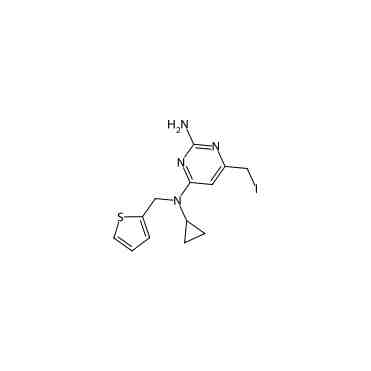 Nc1nc(CI)cc(N(Cc2cccs2)C2CC2)n1